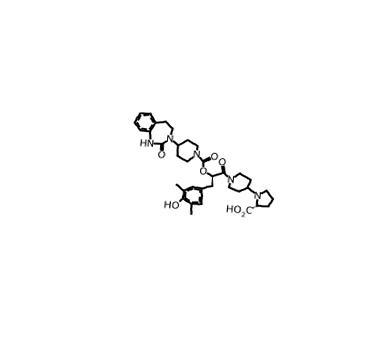 Cc1cc(C[C@@H](OC(=O)N2CCC(N3CCc4ccccc4NC3=O)CC2)C(=O)N2CCC(N3CCC[C@@H]3C(=O)O)CC2)cc(C)c1O